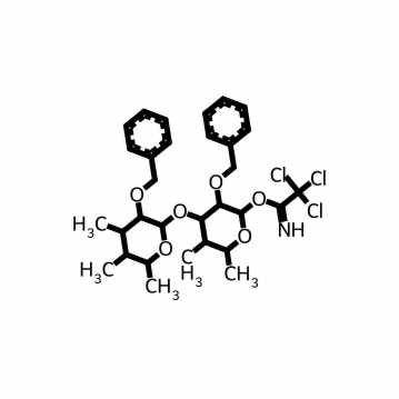 CC1OC(OC2C(C)C(C)OC(OC(=N)C(Cl)(Cl)Cl)C2OCc2ccccc2)C(OCc2ccccc2)C(C)C1C